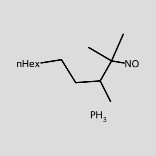 CCCCCCCCC(C)C(C)(C)N=O.P